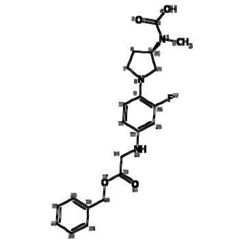 CN(C(=O)O)[C@@H]1CCN(c2ccc(NCC(=O)OCc3ccccc3)cc2F)C1